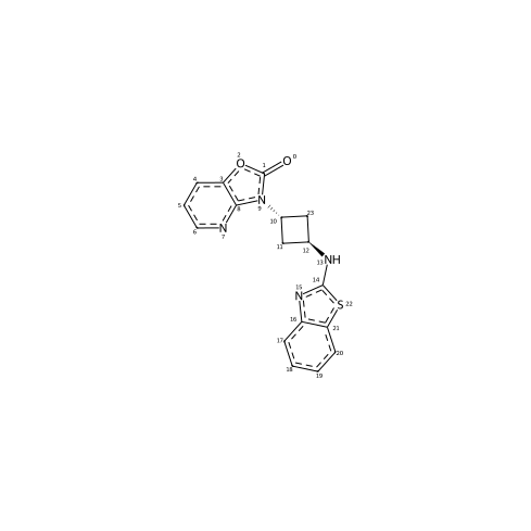 O=c1oc2cccnc2n1[C@H]1C[C@H](Nc2nc3ccccc3s2)C1